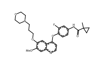 COc1cc2nccc(Oc3ccc(NC(=O)C4(C)CC4)cc3F)c2cc1OCCCN1CCOCC1